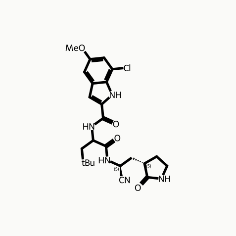 COc1cc(Cl)c2[nH]c(C(=O)NC(CC(C)(C)C)C(=O)N[C@H](C#N)C[C@@H]3CCNC3=O)cc2c1